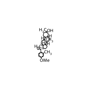 COc1ccc(C(=O)[C@H]2CC[C@H]3[C@@H]4CC[C@@H]5C[C@](C)(O)CC[C@]5(C)[C@H]4CC[C@]23C)c(C)c1